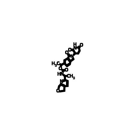 CC(NC(=O)OC(C)c1ccc2c(c1)C(=O)N(C1CCC(=O)NC1=O)C2)c1ccc2c(n1)COCC2